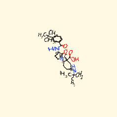 CC(C)(C)N[C@@H]1CC[C@H](N2CC[C@H](NC(=O)c3cccc(C(C)(C)C)c3)C2=O)[C@](C)(C(=O)O)C1